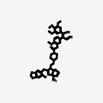 COc1ccc(/C(C=N)=C(/O)c2cc(OC)c(OC)c(OC)c2)cc1OC(=O)N1CCC(CCn2c(Sc3cc4c(cc3Br)OCO4)nc3c(N)ncnc32)CC1